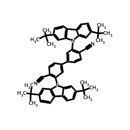 CC(C)(C)c1ccc2c3ccc(C(C)(C)C)cc3n(-c3cc(-c4ccc(C#N)c(-n5c6cc(C(C)(C)C)ccc6c6ccc(C(C)(C)C)cc65)c4)ccc3C#N)c2c1